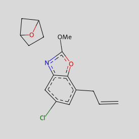 C1CC2CC1O2.C=CCc1cc(Cl)cc2nc(OC)oc12